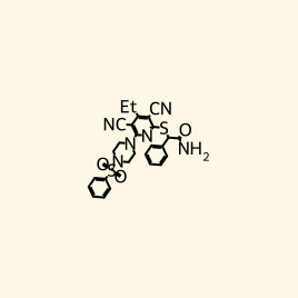 CCc1c(C#N)c(SC(C(N)=O)c2ccccc2)nc(N2CCN(S(=O)(=O)c3ccccc3)CC2)c1C#N